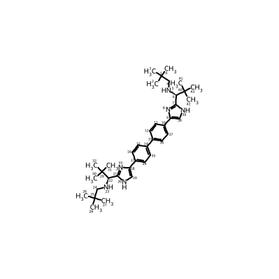 CC(C)(C)CN[C@H](c1nc(-c2ccc(-c3ccc(-c4c[nH]c([C@@H](NCC(C)(C)C)C(C)(C)C)n4)cc3)cc2)c[nH]1)C(C)(C)C